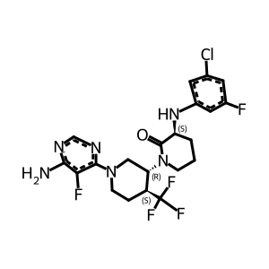 Nc1ncnc(N2CC[C@H](C(F)(F)F)[C@@H](N3CCC[C@H](Nc4cc(F)cc(Cl)c4)C3=O)C2)c1F